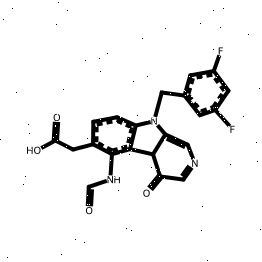 O=CNc1c(CC(=O)O)ccc2c1C1C(=O)C=NC=C1N2Cc1cc(F)cc(F)c1